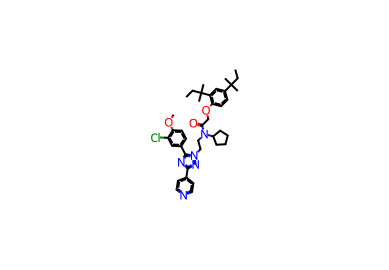 CCC(C)(C)c1ccc(OCC(=O)N(CCn2nc(-c3ccncc3)nc2-c2ccc(OC)c(Cl)c2)C2CCCC2)c(C(C)(C)CC)c1